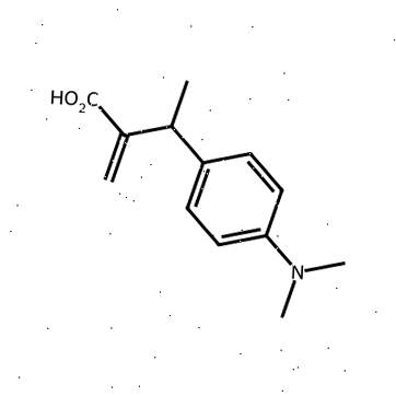 C=C(C(=O)O)C(C)c1ccc(N(C)C)cc1